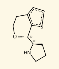 c1cc2c(s1)[C@H]([C@H]1CCCN1)OCC2